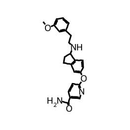 COc1cccc(CCNC2CCc3cc(Oc4ccc(C(N)=O)cn4)ccc32)c1